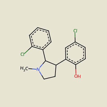 CN1CCC(c2cc(Cl)ccc2O)C1c1ccccc1Cl